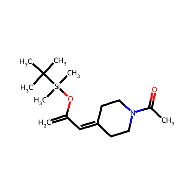 C=C(C=C1CCN(C(C)=O)CC1)O[Si](C)(C)C(C)(C)C